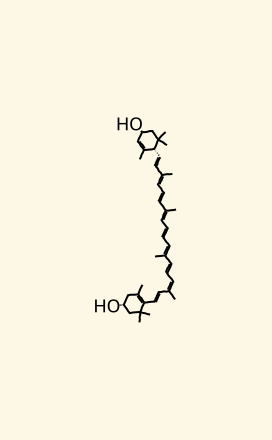 CC1=CC(O)CC(C)(C)[C@@H]1/C=C/C(C)=C/C=C/C(C)=C/C=C/C=C(C)/C=C/C=C(C)\C=C\C1=C(C)C[C@@H](O)CC1(C)C